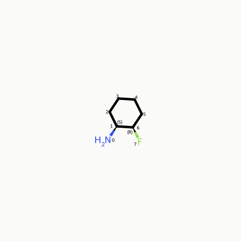 N[C@H]1CCCC[C@H]1F